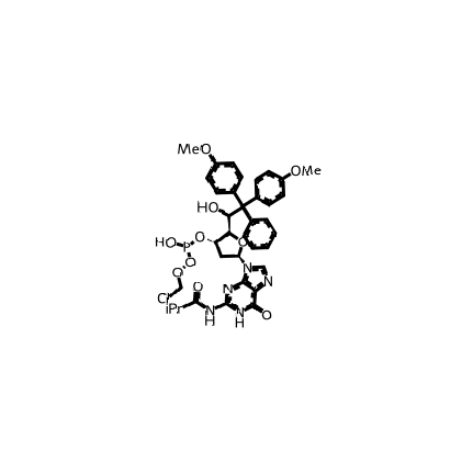 COc1ccc(C(c2ccccc2)(c2ccc(OC)cc2)C(O)[C@H]2O[C@@H](n3cnc4c(=O)[nH]c(NC(=O)C(C)C)nc43)C[C@@H]2OP(O)OOCCl)cc1